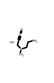 CN(CC#P=O)CCN.Cl